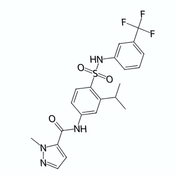 CC(C)c1cc(NC(=O)c2ccnn2C)ccc1S(=O)(=O)Nc1cccc(C(F)(F)F)c1